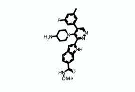 CONC(=O)c1ccc2cc(-c3nncc(-c4cc(C)cc(F)c4)c3N3CCC(N)CC3)[nH]c2c1